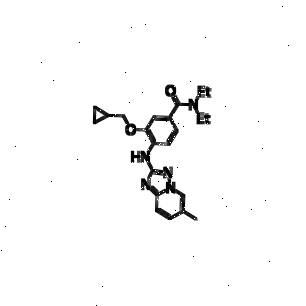 CCN(CC)C(=O)c1ccc(Nc2nc3ccc(C)cn3n2)c(OCC2CC2)c1